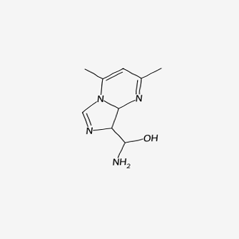 CC1=CC(C)=NC2C(C(N)O)N=CN12